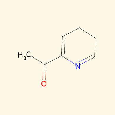 CC(=O)C1=CCCC=N1